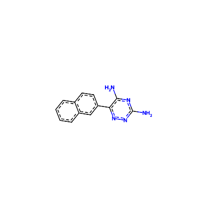 Nc1nnc(-c2ccc3ccccc3c2)c(N)n1